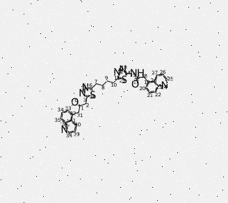 O=C(Cc1nnc(CCCCc2nnc(NC(=O)Cc3cccc4ncccc34)s2)s1)Cc1cccc2ncccc12